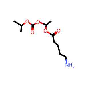 CC(C)OC(=O)OC(C)OC(=O)CCCCN